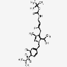 Cc1nn(Cc2ccc(S(=O)(=O)N(C)C)c(Cl)c2)c(C(C)O)c1C/C(F)=C/CNC(=O)OC(C)(C)C